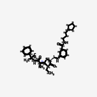 CCN1C(=O)[C@@H](CNc2cccc(C(=O)NCCCN3CCCC3)c2)S/C1=C(/N)C(=O)NC(C)(C)c1ccccc1